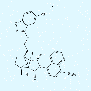 C[C@@]12CC[C@@](CCOc3noc4ccc(Cl)cc34)(O1)[C@H]1C(=O)N(c3ccc(C#N)c4ncccc34)C(=O)[C@H]12